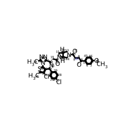 COc1ccc(C(=O)/C=C/C(=O)N2C[C@H]3CN(C(=O)C[C@@H]4N=C(c5ccc(Cl)cc5)c5c(sc(C)c5C)-n5c(C)nnc54)[C@H]3C2)cc1